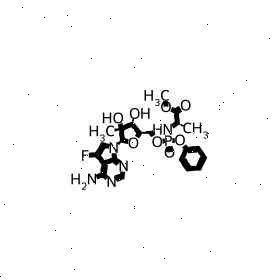 COC(=O)[C@H](C)NP(=O)(OC[C@H]1O[C@@H](n2cc(F)c3c(N)ncnc32)[C@](C)(O)[C@@H]1O)Oc1ccccc1